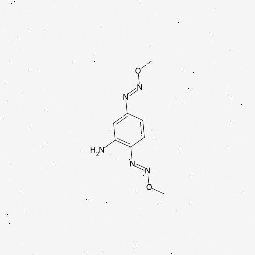 CON=Nc1ccc(N=NOC)c(N)c1